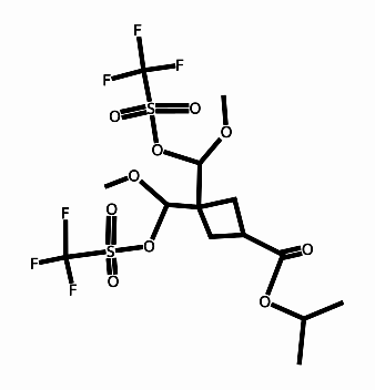 COC(OS(=O)(=O)C(F)(F)F)C1(C(OC)OS(=O)(=O)C(F)(F)F)CC(C(=O)OC(C)C)C1